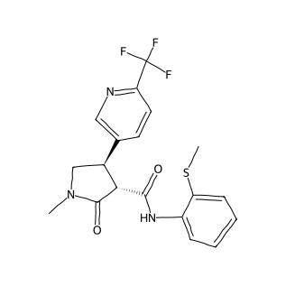 CSc1ccccc1NC(=O)[C@@H]1C(=O)N(C)C[C@H]1c1ccc(C(F)(F)F)nc1